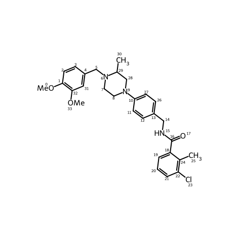 COc1ccc(CN2CCN(c3ccc(CNC(=O)c4cccc(Cl)c4C)cc3)CC2C)cc1OC